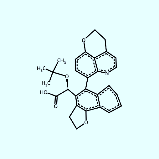 CC(C)(C)O[C@H](C(=O)O)c1c2c(c3ccccc3c1-c1ccc3c4c(ccnc14)CCO3)OCC2